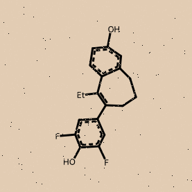 CCC1=C(c2cc(F)c(O)c(F)c2)CCCc2cc(O)ccc21